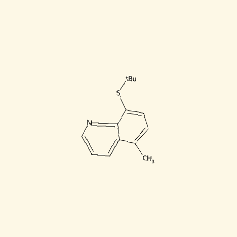 Cc1ccc(SC(C)(C)C)c2ncccc12